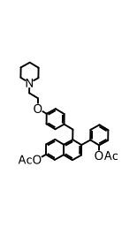 CC(=O)Oc1ccc2c(Cc3ccc(OCCN4CCCCC4)cc3)c(-c3ccccc3OC(C)=O)ccc2c1